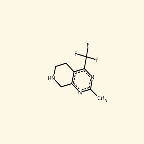 Cc1nc2c(c(C(F)(F)F)n1)CCNC2